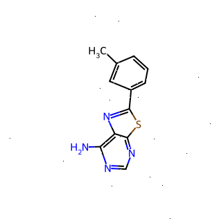 Cc1cccc(-c2nc3c(N)ncnc3s2)c1